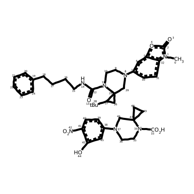 Cn1c(=O)oc2cc(N3CCN(C(=O)NCCCCc4ccccc4)C4(CC4C(C)(C)C)C3)ccc21.O=C(O)N1CCN(c2ccc([N+](=O)[O-])c(O)c2)CC12CC2